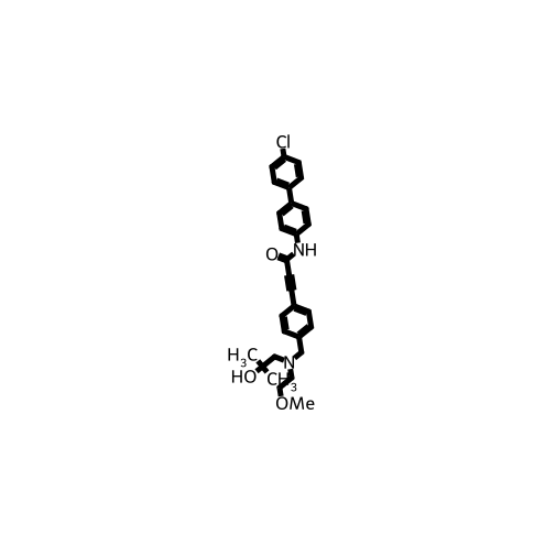 COCCN(Cc1ccc(C#CC(=O)Nc2ccc(-c3ccc(Cl)cc3)cc2)cc1)CC(C)(C)O